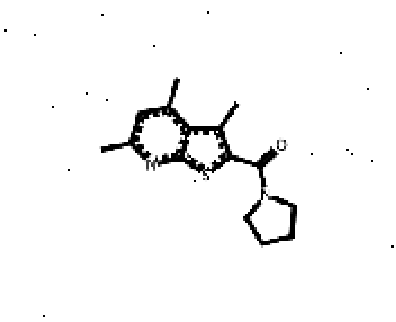 Cc1cc(C)c2c(C)c(C(=O)N3CCCC3)sc2n1